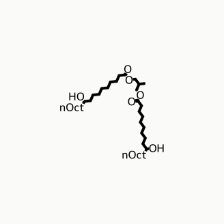 CCCCCCCCC(O)CCCCCCCCC(=O)OCC(C)COC(=O)CCCCCCCCC(O)CCCCCCCC